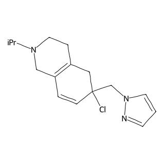 CC(C)N1CCC2=C(C=CC(Cl)(Cn3cccn3)C2)C1